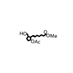 COC(=O)CCCCC=CC1C(CO)CCC1OC(C)=O